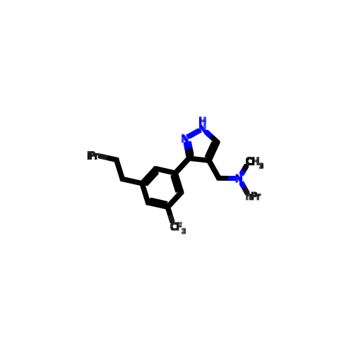 CCCN(C)Cc1c[nH]nc1-c1cc(CCC(C)C)cc(C(F)(F)F)c1